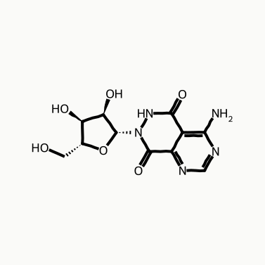 Nc1ncnc2c(=O)n([C@@H]3O[C@H](CO)[C@@H](O)[C@H]3O)[nH]c(=O)c12